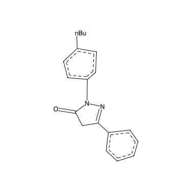 CCCCc1ccc(N2N=C(c3ccccc3)CC2=O)cc1